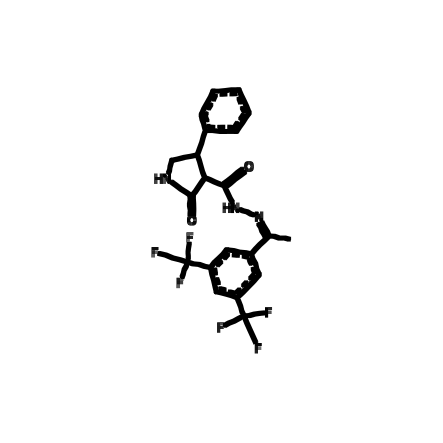 C/C(=N/NC(=O)C1C(=O)NCC1c1ccccc1)c1cc(C(F)(F)F)cc(C(F)(F)F)c1